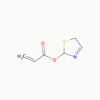 C=CC(=O)OC1N=CCS1